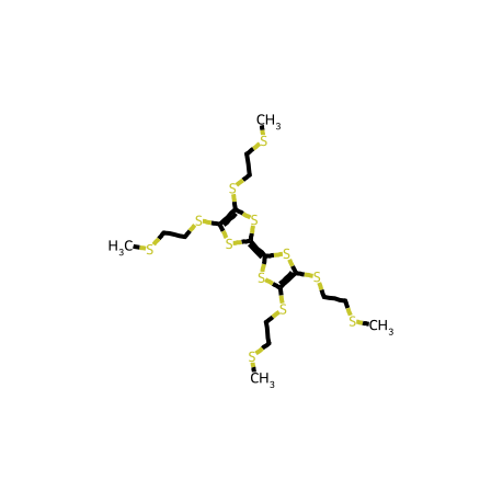 CSCCSC1=C(SCCSC)SC(=C2SC(SCCSC)=C(SCCSC)S2)S1